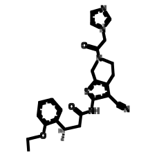 CCOc1ccccc1[C@@H](C)CC(=O)Nc1sc2c(c1C#N)CCN(C(=O)Cn1ccnc1)C2